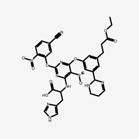 CCOC(=O)CCc1cc(Oc2nc(Oc3cc(C#N)ccc3[N+](=O)[O-])nc(NC(Cc3c[nH]cn3)C(=O)O)c2[N+](=O)[O-])cc(C2N=CCCN2)c1